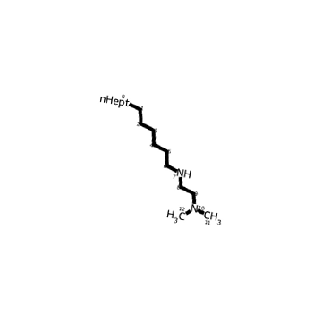 CCCCCCCCCCCCCNCCN(C)C